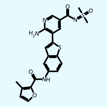 Cc1ccoc1C(=O)Nc1ccc2sc(-c3cc(C(=O)N=S(C)(C)=O)cnc3N)cc2c1